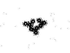 C1=CCC(c2nc(-c3ccccc3)nc(-c3cccc(-n4c5ccccc5c5cc(-c6ccc7c8ccccc8n(-c8ccccc8)c7c6)ccc54)c3)n2)C=C1